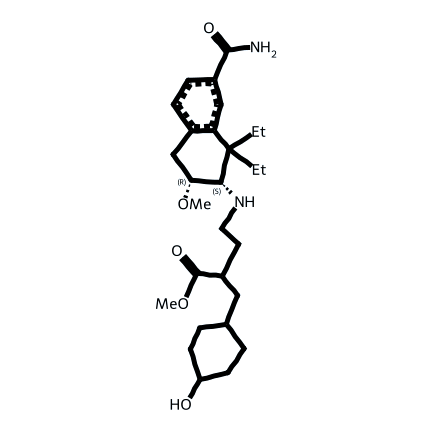 CCC1(CC)c2cc(C(N)=O)ccc2C[C@@H](OC)[C@H]1NCCC(CC1CCC(O)CC1)C(=O)OC